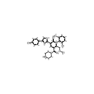 CCOCc1c(C(=O)N2CCNCC2)cc(-c2nc(-c3ccc(Cl)cc3)cs2)c(=O)n1-c1c(CC)cccc1CC